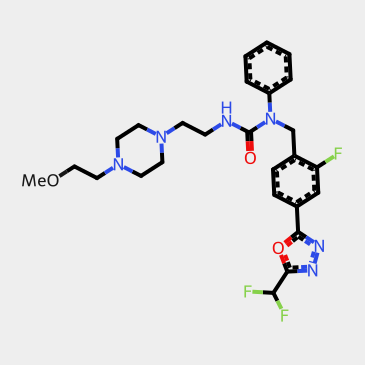 COCCN1CCN(CCNC(=O)N(Cc2ccc(-c3nnc(C(F)F)o3)cc2F)c2ccccc2)CC1